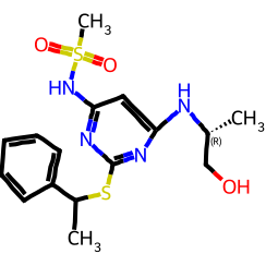 CC(Sc1nc(N[C@H](C)CO)cc(NS(C)(=O)=O)n1)c1ccccc1